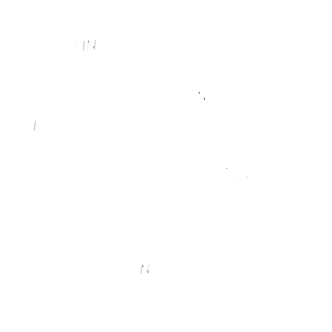 CN(CCCCc1c[nH]c2ccc(Cl)cc12)CCCC1(c2ccc(F)cc2)OCc2cc(C#N)ccc21